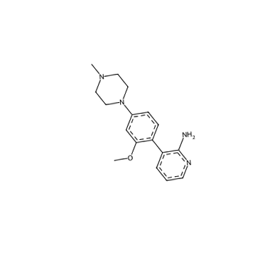 COc1cc(N2CCN(C)CC2)ccc1-c1cccnc1N